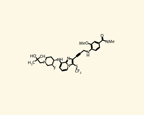 CNC(=O)c1ccc(NCC#Cc2nc3c(N[C@@H]4CCN(CC(C)(C)O)C[C@@H]4F)cccn3c2SC(F)(F)F)c(OC)c1